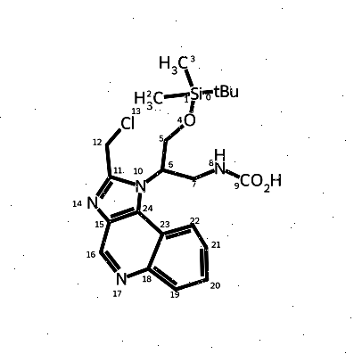 CC(C)(C)[Si](C)(C)OCC(CNC(=O)O)n1c(CCl)nc2cnc3ccccc3c21